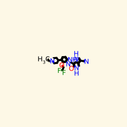 CCN1CCC(c2ccc3[nH]c(-c4c(=O)[nH]cc5c(C#N)c[nH]c45)nc3c2OCC(F)F)CC1